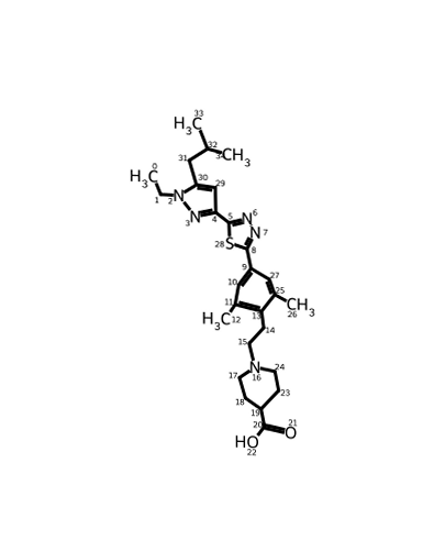 CCn1nc(-c2nnc(-c3cc(C)c(CCN4CCC(C(=O)O)CC4)c(C)c3)s2)cc1CC(C)C